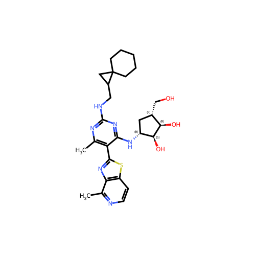 Cc1nc(NCC2CC23CCCCC3)nc(N[C@@H]2C[C@H](CO)[C@@H](O)[C@H]2O)c1-c1nc2c(C)nccc2s1